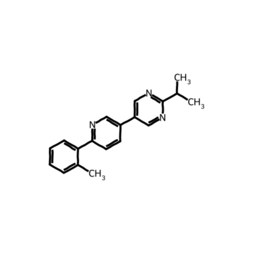 Cc1ccccc1-c1ccc(-c2cnc(C(C)C)nc2)cn1